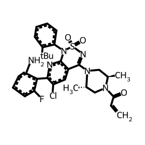 C=CC(=O)N1C[C@H](C)N(C2=NS(=O)(=O)N(c3ccccc3C(C)(C)C)c3nc(-c4c(N)cccc4F)c(Cl)cc32)C[C@H]1C